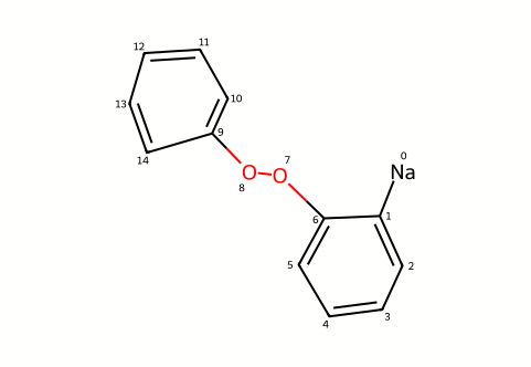 [Na][c]1ccccc1OOc1ccccc1